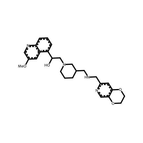 COc1cnc2cccc(C(O)CN3CCCC(CNCc4cc5c(cn4)OCCO5)C3)c2c1